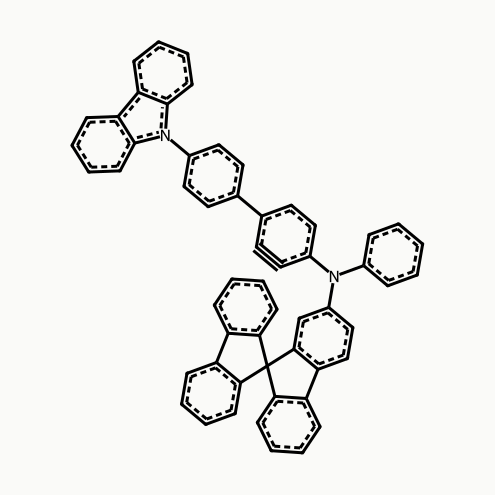 c1c(-c2ccc(-n3c4ccccc4c4ccccc43)cc2)ccc(N(c2ccccc2)c2ccc3c(c2)C2(c4ccccc4-c4ccccc42)c2ccccc2-3)c#1